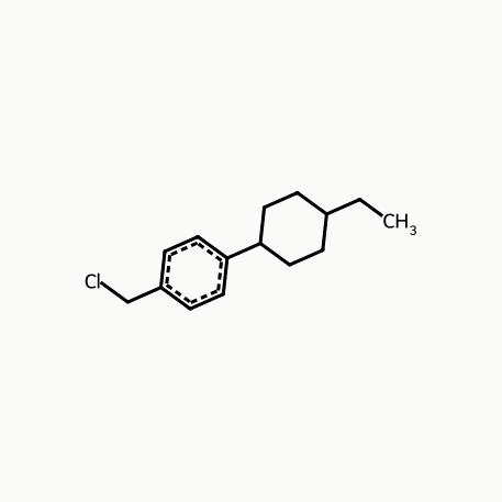 CCC1CCC(c2ccc(CCl)cc2)CC1